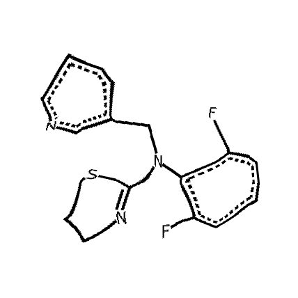 Fc1cccc(F)c1N(Cc1cccnc1)C1=NCCS1